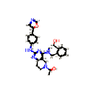 CC(=O)N1CCc2nc(Nc3ccc(-c4cnco4)cc3)nc(N(C)Cc3ccccc3CO)c2C1